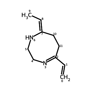 C=C/C1=N/CCN/C(=C\C)CC1